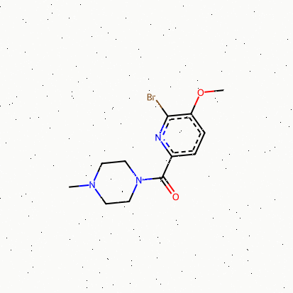 COc1ccc(C(=O)N2CCN(C)CC2)nc1Br